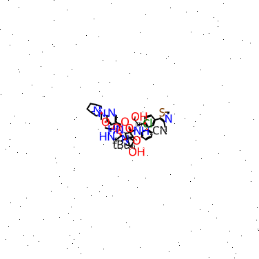 Cc1ncsc1-c1ccc([C@H](CO)NC(=O)[C@@H]2C[C@@H](O)CN2C(=O)[C@@H](NC(=O)COCCN2C3CCC2CN(c2ccc(C(=O)N[C@H]4C(C)(C)[C@H](Oc5ccc(C#N)c(Cl)c5)C4(C)C)cn2)C3)C(C)(C)C)cc1